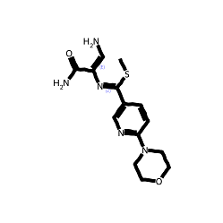 CS/C(=N\C(=C\N)C(N)=O)c1ccc(N2CCOCC2)nc1